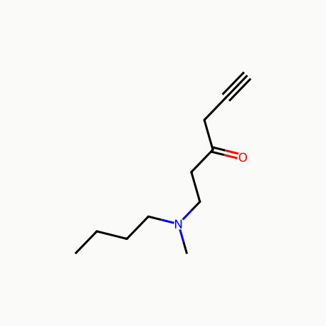 C#CCC(=O)CCN(C)CCCC